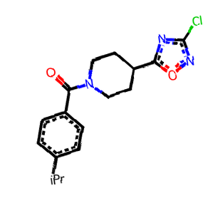 CC(C)c1ccc(C(=O)N2CCC(c3nc(Cl)no3)CC2)cc1